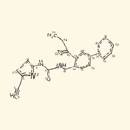 C#Cc1nc(NC(=O)NCc2ccc(-c3ccccc3)cc2C(=O)CC)cs1